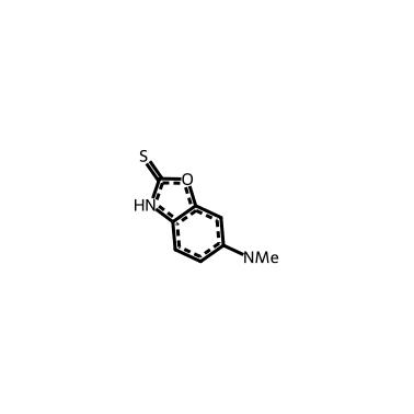 CNc1ccc2[nH]c(=S)oc2c1